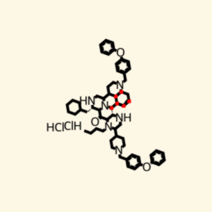 CCCCN1C(C2CCN(Cc3ccc(Oc4ccccc4)cc3)CC2)CN[C@@H](CC2CCCCC2)C1C(=O)C1[C@H](CC2CCCCC2)NCC(C2CCN(Cc3ccc(Oc4ccccc4)cc3)CC2)N1CCCC.Cl.Cl